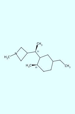 CCC1CC[C@@H](C)C([C@H](C)C2CN(C)C2)C1